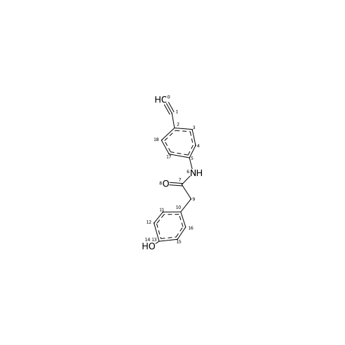 C#Cc1ccc(NC(=O)Cc2ccc(O)cc2)cc1